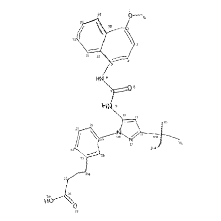 COc1ccc(NC(=O)Nc2cc(C(C)(C)C)nn2-c2cccc(CCC(=O)O)c2)c2ccccc12